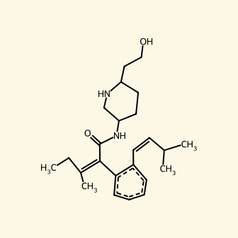 CC/C(C)=C(\C(=O)NC1CCC(CCO)NC1)c1ccccc1/C=C\C(C)C